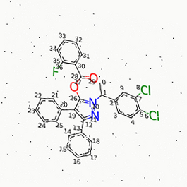 CC(c1ccc(Cl)c(Cl)c1)n1nc(-c2ccccc2)c(-c2ccccc2)c1OC(=O)c1ccccc1F